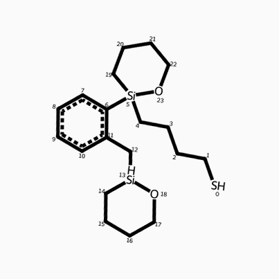 SCCCC[Si]1(c2ccccc2C[SiH]2CCCCO2)CCCCO1